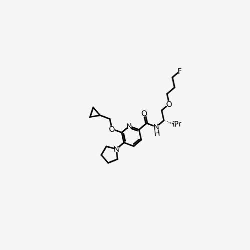 CC(C)[C@@H](COCCCF)NC(=O)c1ccc(N2CCCC2)c(OCC2CC2)n1